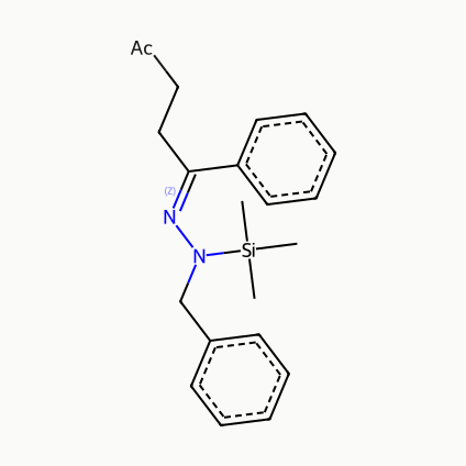 CC(=O)CC/C(=N/N(Cc1ccccc1)[Si](C)(C)C)c1ccccc1